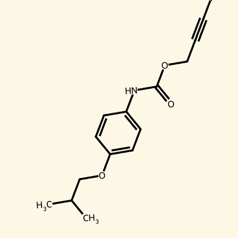 CC(C)COc1ccc(NC(=O)OCC#CI)cc1